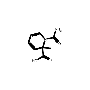 CC1(C(=O)O)C=CC=CN1C(N)=O